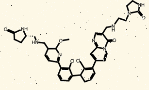 COC1N=C(c2cccc(C3CC=CC(c4ccn5c(=O)c(CNCCN6CCNC6=O)cnc5c4)=C3Cl)c2Cl)C=CC1CNC[C@@H]1CCC(=O)N1